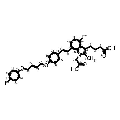 Cc1c(CCCC(=O)O)c2c(F)ccc(C=Cc3ccc(OCC=CCOc4ccc(F)cc4)cc3)c2n1CC(=O)O